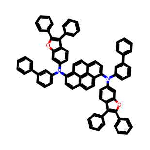 c1ccc(-c2cccc(N(c3ccc4c(-c5ccccc5)c(-c5ccccc5)oc4c3)c3ccc4ccc5c(N(c6cccc(-c7ccccc7)c6)c6ccc7c(-c8ccccc8)c(-c8ccccc8)oc7c6)ccc6ccc3c4c65)c2)cc1